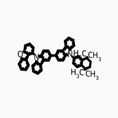 CC1(C)CCC(C)(C)c2cc(-n3c4ccccc4c4cc(-c5ccc6c(c5)c5ccccc5n6-c5cccc6oc7ccccc7c56)ccc43)ccc21